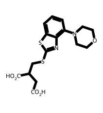 O=C(O)CC(CSc1nc2c(N3CCOCC3)cccc2s1)C(=O)O